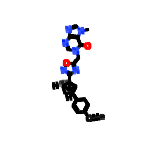 COc1ccc(C2=C3[C@H]4[C@@H](C2)[C@]34c2noc(Cn3cnc4ncn(C)c4c3=O)n2)cc1